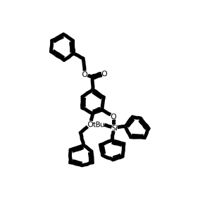 CC(C)(C)[Si](Oc1cc(C(=O)OCc2ccccc2)ccc1OCc1ccccc1)(c1ccccc1)c1ccccc1